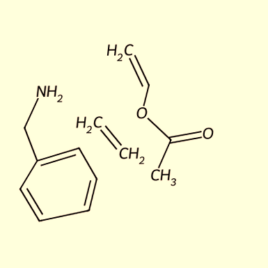 C=C.C=COC(C)=O.NCc1ccccc1